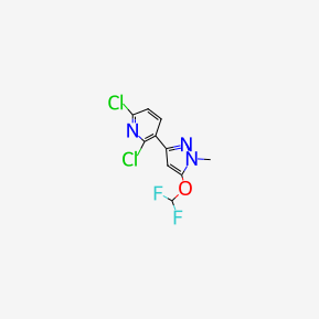 Cn1nc(-c2ccc(Cl)nc2Cl)cc1OC(F)F